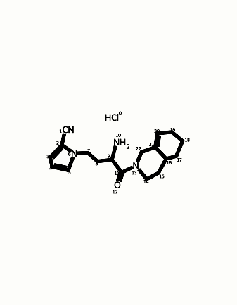 Cl.N#Cc1cccn1CCC(N)C(=O)N1CCC2CCCC=C2C1